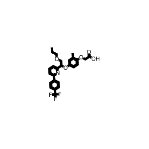 CCCOCC(Oc1ccc(OCC(=O)O)c(C)c1)c1cccc(-c2ccc(C(F)(F)F)cc2)n1